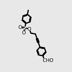 Cc1ccc(S(=O)(=O)OCCC#Cc2ccc(C=O)cc2)cc1